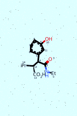 CCNC(=O)C(c1cccc(O)c1)[C@@H](C(=O)O)C(C)C